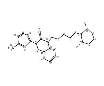 C[C@@H]1CCC[C@H](C)N1CCCCCN1C(=O)C(c2ncnc(N)n2)Cc2ccccc21